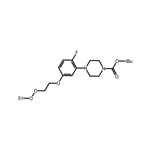 CCOOCCOc1ccc(F)c(N2CCN(C(=O)OC(C)(C)C)CC2)c1